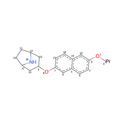 CC(C)Oc1ccc2cc(OC3CC4CCC(C3)N4)ccc2c1